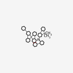 CC1(C)c2ccccc2-c2ccc(N(c3ccccc3-c3ccccc3)c3cccc4c3-c3ccccc3C43c4ccccc4-c4cc(-c5ccccc5)ccc43)cc21